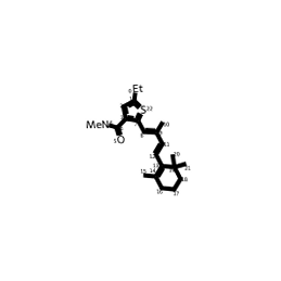 CCc1cc(C(=O)NC)c(C=C(C)C=CC2=C(C)CCCC2(C)C)s1